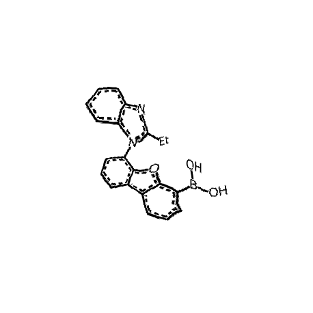 CCc1nc2ccccc2n1-c1cccc2c1oc1c(B(O)O)cccc12